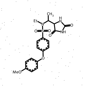 CCN(C(C)C1NC(=O)NC1=O)S(=O)(=O)c1ccc(Oc2ccc(OC)cc2)cc1